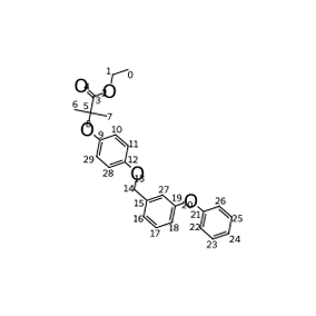 CCOC(=O)C(C)(C)Oc1ccc(OCc2cccc(Oc3ccccc3)c2)cc1